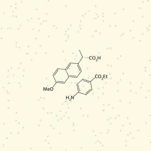 CCOC(=O)c1ccc(N)cc1.COc1ccc2cc([C@H](C)C(=O)O)ccc2c1